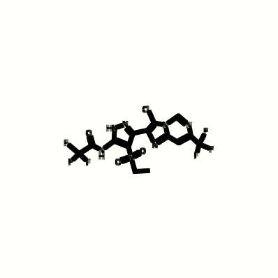 CCS(=O)(=O)c1c(-c2nc3cc(C(F)(F)F)ncn3c2Cl)n[nH]c1NC(=O)C(F)(F)F